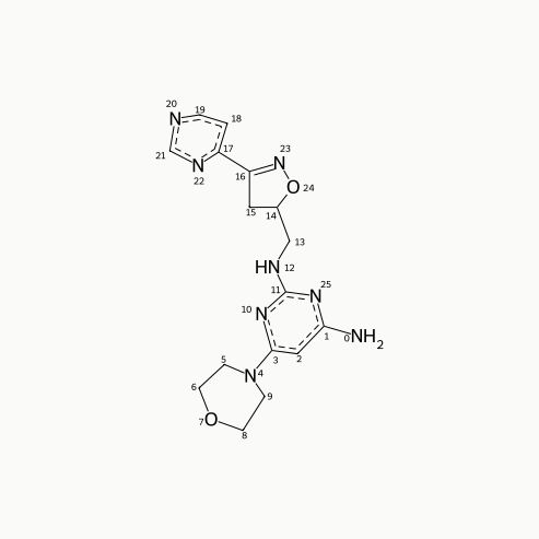 Nc1cc(N2CCOCC2)nc(NCC2CC(c3ccncn3)=NO2)n1